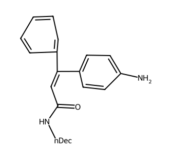 CCCCCCCCCCNC(=O)C=C(c1ccccc1)c1ccc(N)cc1